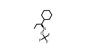 CCC(=NOC(F)(F)F)C1CCCCC1